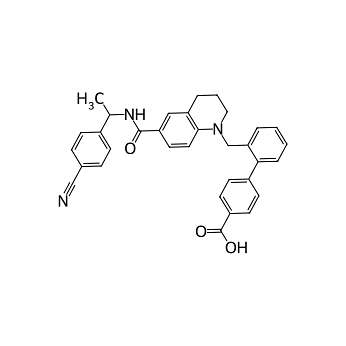 CC(NC(=O)c1ccc2c(c1)CCCN2Cc1ccccc1-c1ccc(C(=O)O)cc1)c1ccc(C#N)cc1